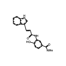 CNC(=O)c1ccc(O)c(NC(=O)C=Cc2c[nH]c3ccccc23)c1